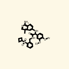 CCOc1cc(C(Nc2ccc3c(N)ncc(C)c3c2)C(=O)NCc2ccccc2S(=O)(=O)C2CCC2)ccc1OC(C)C